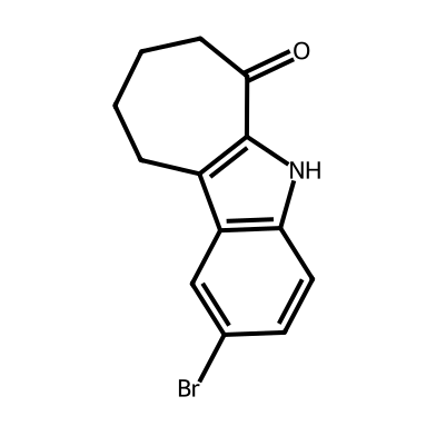 O=C1CCCCc2c1[nH]c1ccc(Br)cc21